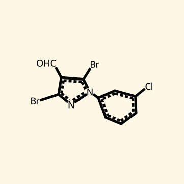 O=Cc1c(Br)nn(-c2cccc(Cl)c2)c1Br